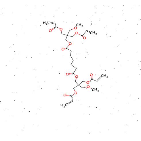 C=CC(=O)OCC(COC)(COC(=O)C=C)COC(=O)CCCCCC(=O)OCC(COC)(COC(=O)C=C)COC(=O)C=C